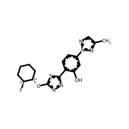 Cc1cnn(-c2ccc(-c3nnc(O[C@H]4CCCC[C@@H]4F)s3)c(O)c2)n1